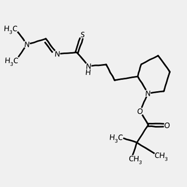 CN(C)C=NC(=S)NCCC1CCCCN1OC(=O)C(C)(C)C